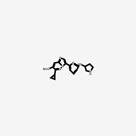 COc1cc2ncc(-c3cccc(NC4CCNC4)n3)n2nc1C1CC1